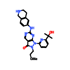 COCCn1c(=O)c2cnc(Nc3ccc4c(c3)CCNC4)nc2n1-c1cccc(C(C)(C)O)n1